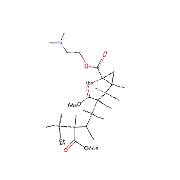 CCC(C)(C)C(C)(C(=O)OC)C(C)C(C)(C)C(C)(C(=O)OC)C(C)(C)C1(C)CC1(C(=O)OCCN(C)C)C(C)(C)C